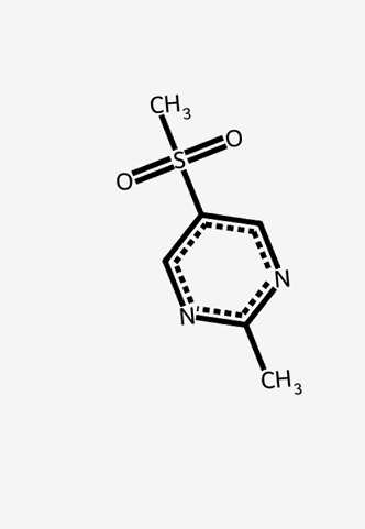 Cc1ncc(S(C)(=O)=O)cn1